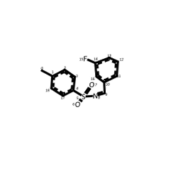 Cc1ccc(S(=O)(=O)/N=C\c2cccc(F)c2)cc1